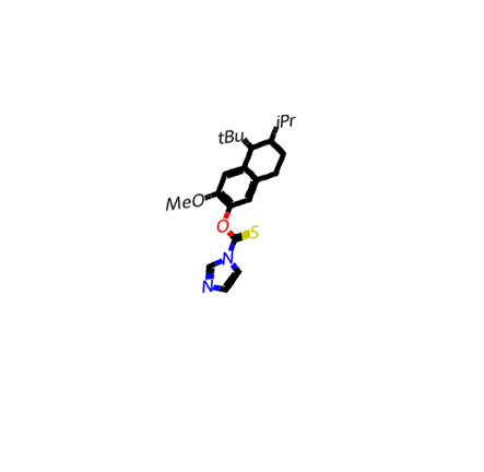 COc1cc2c(cc1OC(=S)n1ccnc1)CCC(C(C)C)C2C(C)(C)C